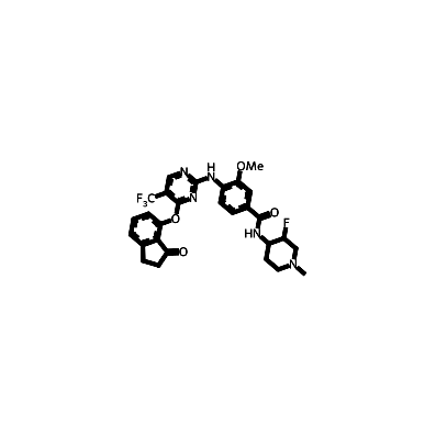 COc1cc(C(=O)NC2CCN(C)CC2F)ccc1Nc1ncc(C(F)(F)F)c(Oc2cccc3c2C(=O)CC3)n1